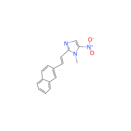 Cn1c([N+](=O)[O-])cnc1/C=C/c1ccc2ccccc2c1